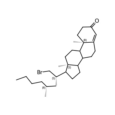 CCCC[C@@H](C)C[C@H](CBr)C1CCC2C3CCC4=CC(=O)CC[C@]4(C)C3CC[C@@]21C